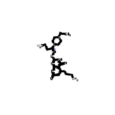 CCCCc1cc(=O)oc2nc(O/N=C(\CCC)N3CCN(CC)CC3)[nH]c(=O)c12